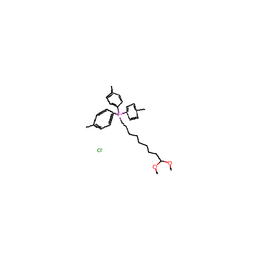 COC(CCCCCCCC[P+](c1ccc(C)cc1)(c1ccc(C)cc1)c1ccc(C)cc1)OC.[Cl-]